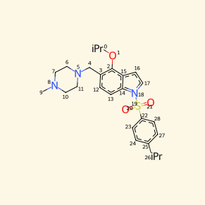 CC(C)Oc1c(CN2CCN(C)CC2)ccc2c1ccn2S(=O)(=O)c1ccc(C(C)C)cc1